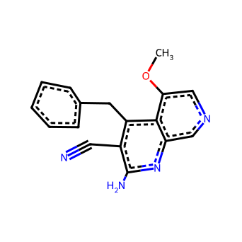 COc1cncc2nc(N)c(C#N)c(Cc3ccccc3)c12